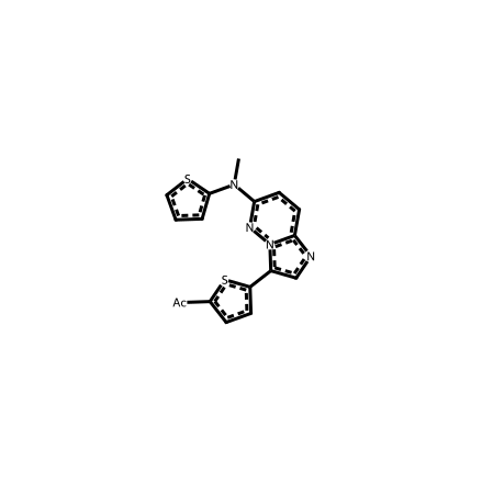 CC(=O)c1ccc(-c2cnc3ccc(N(C)c4cccs4)nn23)s1